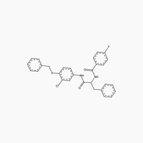 O=C(NC(Cc1ccccc1)C(=O)Nc1ccc(SCc2ccccc2)c(Cl)c1)c1ccc(F)cc1